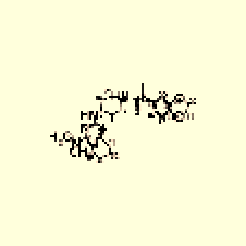 CN(C)c1nc(N[C@H]2CC[C@@H](NC(=S)Nc3ccc4c(c3)OCCO4)CC2)nc2c1CCCC2